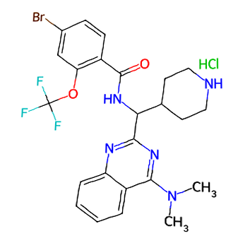 CN(C)c1nc(C(NC(=O)c2ccc(Br)cc2OC(F)(F)F)C2CCNCC2)nc2ccccc12.Cl